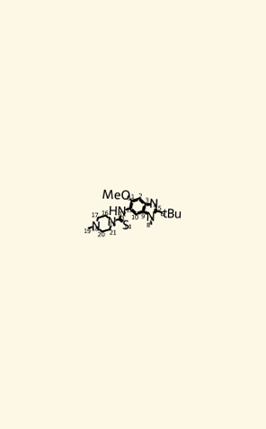 COc1cc2nc(C(C)(C)C)n(C)c2cc1NC(=S)N1CCN(C)CC1